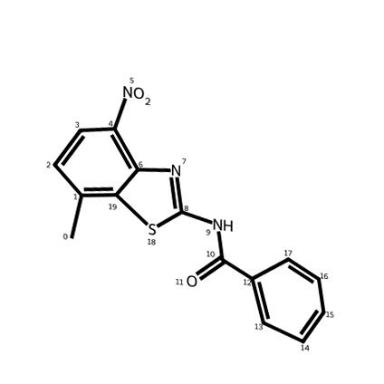 Cc1ccc([N+](=O)[O-])c2nc(NC(=O)c3ccccc3)sc12